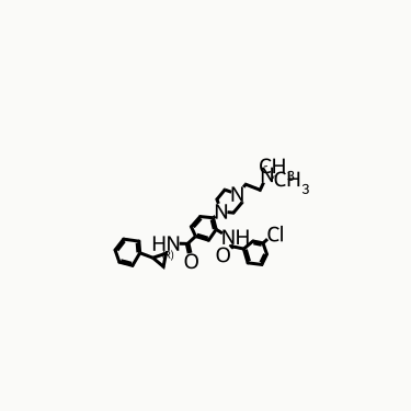 CN(C)CCN1CCN(c2ccc(C(=O)N[C@@H]3CC3c3ccccc3)cc2NC(=O)c2cccc(Cl)c2)CC1